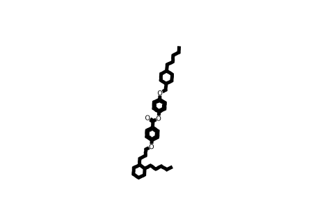 CCCCCC1CCC(COc2ccc(OC(=O)c3ccc(OCCCC4CCCCC4CCCCC)cc3)cc2)CC1